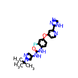 CC(C)(C)n1cc(NC(=O)Nc2ccc(Oc3ccnc(-c4nnc[nH]4)c3)cc2F)cn1